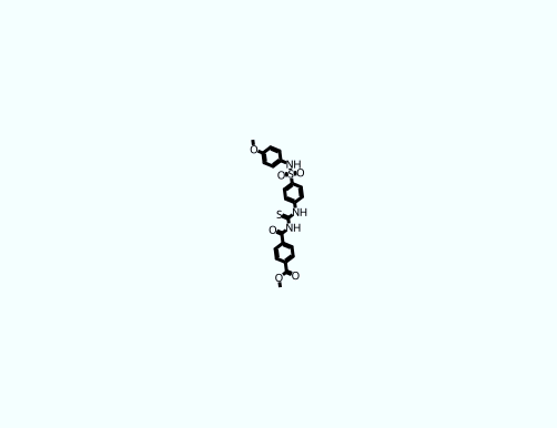 COC(=O)c1ccc(C(=O)NC(=S)Nc2ccc(S(=O)(=O)Nc3ccc(OC)cc3)cc2)cc1